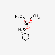 CCO[Si](OCC)O[SiH2]C1CCCCC1